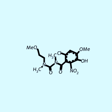 COCCCN(C)C(=O)N(C)C(=O)c1c(Cl)cc(OC)c(O)c1[N+](=O)[O-]